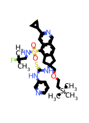 CC(C)(F)CNS(=O)(=O)c1c2c(cc3cnc(C4CC4)cc13)CC(COCC[Si](C)(C)C)(NC(=S)Nc1cccnc1)C2